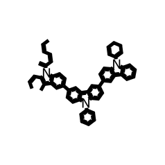 C=C(/C=C\C=C/C)n1c(/C=C\C)c(C)c2cc(-c3ccc4c(c3)c3cc(-c5ccc6c(c5)c5ccccc5n6C5=CCCC=C5)ccc3n4-c3ccccc3)ccc21